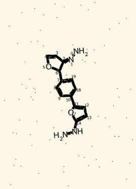 NN=C1C=COC1c1ccc(-c2ccc(NN)o2)cc1